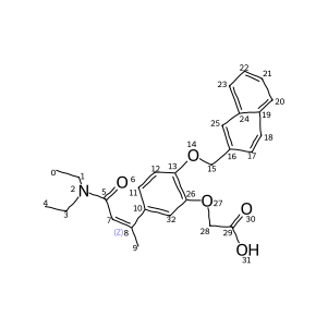 CCN(CC)C(=O)/C=C(/C)c1ccc(OCc2ccc3ccccc3c2)c(OCC(=O)O)c1